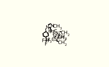 C=C[Si](C)(C)O[Si](C)(C)C=C.Cn1ccn(Cc2ccc(C(F)(F)F)cc2)[c]1=[Pt]